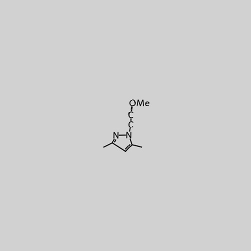 COCCn1nc(C)cc1C